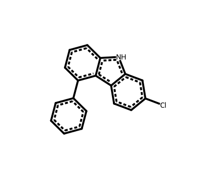 Clc1ccc2c(c1)[nH]c1cccc(-c3ccccc3)c12